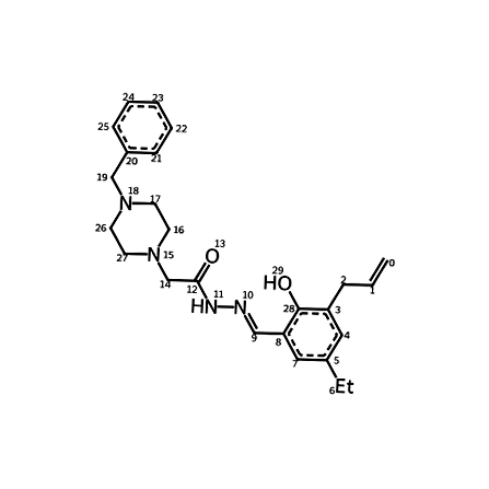 C=CCc1cc(CC)cc(/C=N/NC(=O)CN2CCN(Cc3ccccc3)CC2)c1O